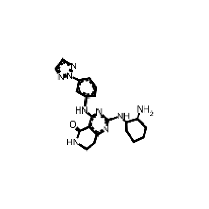 N[C@H]1CCCC[C@H]1Nc1nc2c(c(Nc3cccc(-n4nccn4)c3)n1)C(=O)NCC2